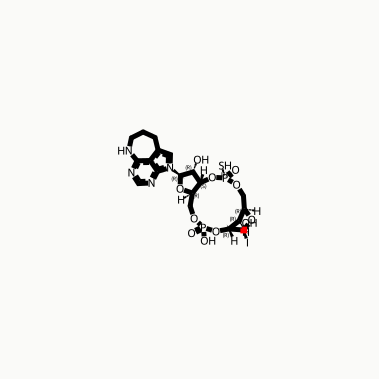 O=P1(O)OC[C@H]2O[C@@H](n3cc4c5c(ncnc53)NCCC4)[C@H](O)[C@@H]2O[P@](=O)(S)OC[C@H]2O[C@@H](I)[C@H](O1)[C@@H]2O